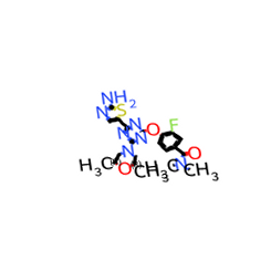 C[C@@H]1CN(c2nc(Oc3ccc(C(=O)N(C)C)cc3F)nc(-c3cnc(N)s3)n2)C[C@@H](C)O1